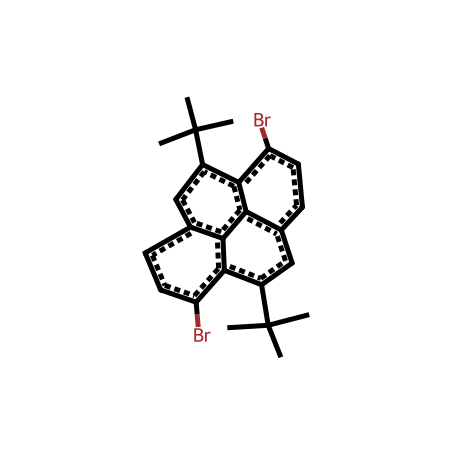 CC(C)(C)c1cc2ccc(Br)c3c(C(C)(C)C)cc4ccc(Br)c1c4c23